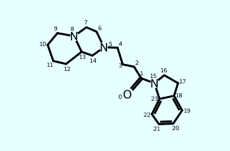 O=C(CCCN1CCN2CCCCC2C1)N1CCc2ccccc21